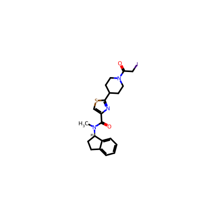 CN(C(=O)c1csc(C2CCN(C(=O)CI)CC2)n1)[C@@H]1CCc2ccccc21